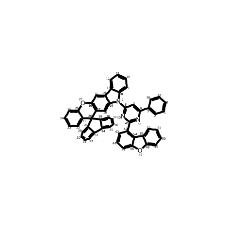 c1ccc(-c2cc(-n3c4ccccc4c4cc5c(cc43)C3(c4ccccc4O5)c4ccccc4-c4ccccc43)nc(-c3cccc4oc5ccccc5c34)n2)cc1